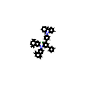 CC1(C)CCC(C)(C)c2cc(N(c3ccc4c(c3)C(C)(C)CCC4(C)C)c3cc(-c4ccccc4)cc(-c4ccc(N5c6ccccc6C6(C)CCCCC56C)cc4)c3Cl)ccc21